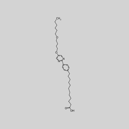 CCCCCCOCCCCOc1cnc(-c2ccc(CCCCCCCCCCCC(=O)O)cc2)nc1